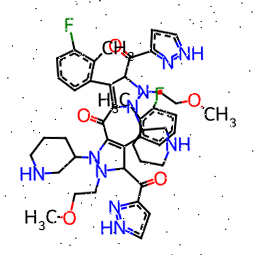 COCCN1C(C(=O)c2cc[nH]n2)C(c2cccc(F)c2C)=C(C(=O)C2=C(c3cccc(F)c3C)C(C(=O)c3cc[nH]n3)N(CCOC)N2C2CCCNC2)N1C1CCCNC1